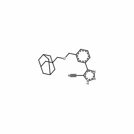 N#Cc1[nH]nnc1-c1cccc(COCC23CC4CC(CC(C4)C2)C3)c1